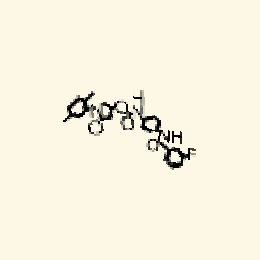 Cc1ccc(C)c(N2CC(OC(=O)Nc3ccc(NC(=O)c4cccc(F)c4)cc3)CC2=O)c1